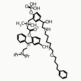 Cc1ccc(OC(=O)C[N+](C)(C)Cc2cc(C(O)CNCCCCCCOCCCCc3ccccc3)ccc2OP(=O)(O)O)c([C@H](CCN(C(C)C)C(C)C)c2ccccc2)c1